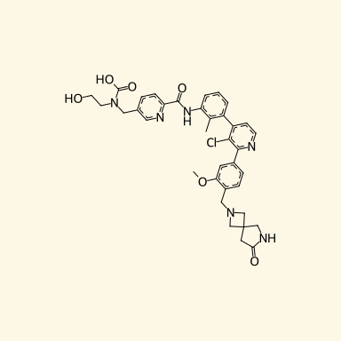 COc1cc(-c2nccc(-c3cccc(NC(=O)c4ccc(CN(CCO)C(=O)O)cn4)c3C)c2Cl)ccc1CN1CC2(CNC(=O)C2)C1